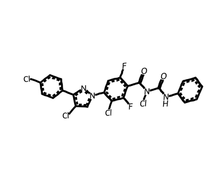 O=C(Nc1ccccc1)N(Cl)C(=O)c1c(F)cc(-n2cc(Cl)c(-c3ccc(Cl)cc3)n2)c(Cl)c1F